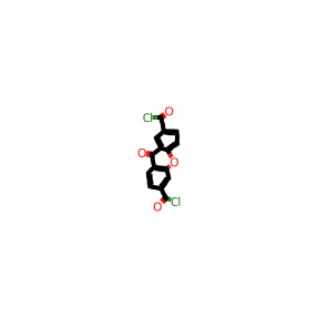 O=C(Cl)c1ccc2c(=O)c3cc(C(=O)Cl)ccc3oc2c1